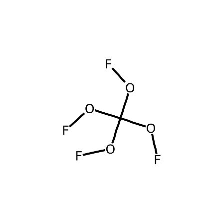 FOC(OF)(OF)OF